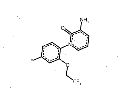 Nc1cccn(-c2ccc(F)cc2OCC(F)(F)F)c1=O